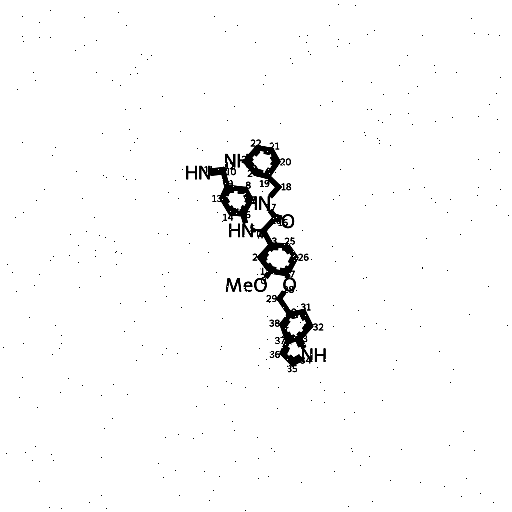 COc1cc([C@@H](Nc2ccc(C(=N)N)cc2)C(=O)NCc2ccccc2)ccc1OCc1ccc2[nH]ccc2c1